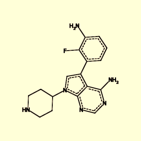 Nc1cccc(-c2cn(C3CCNCC3)c3ncnc(N)c23)c1F